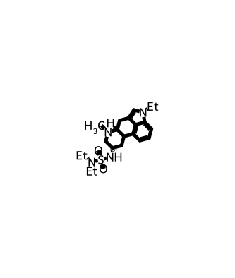 CCN(CC)S(=O)(=O)N[C@H]1CC2c3cccc4c3c(cn4CC)C[C@H]2N(C)C1